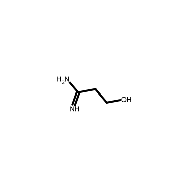 N=C(N)CCO